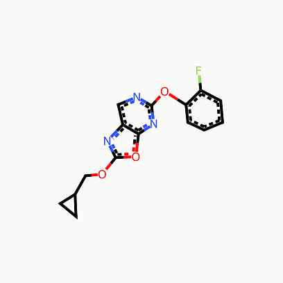 Fc1ccccc1Oc1ncc2nc(OCC3CC3)oc2n1